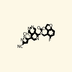 Cn1nc(C#N)cc1-c1cnc(N(Cc2c(F)ccc3c2CCO3)C(=O)C(F)(F)F)c2cnncc12